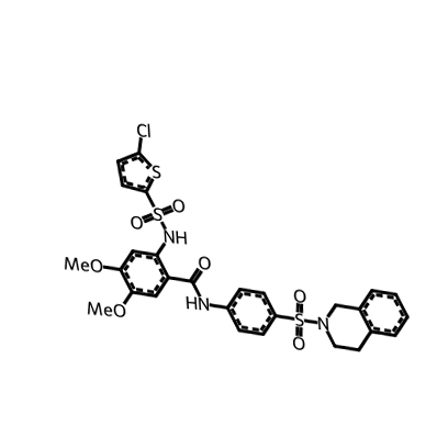 COc1cc(NS(=O)(=O)c2ccc(Cl)s2)c(C(=O)Nc2ccc(S(=O)(=O)N3CCc4ccccc4C3)cc2)cc1OC